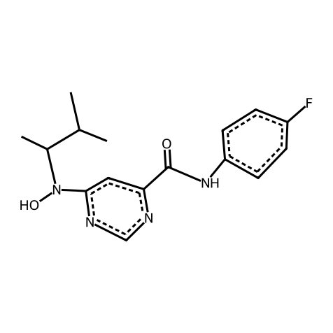 CC(C)C(C)N(O)c1cc(C(=O)Nc2ccc(F)cc2)ncn1